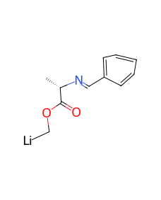 [Li][CH2]OC(=O)[C@H](C)N=Cc1ccccc1